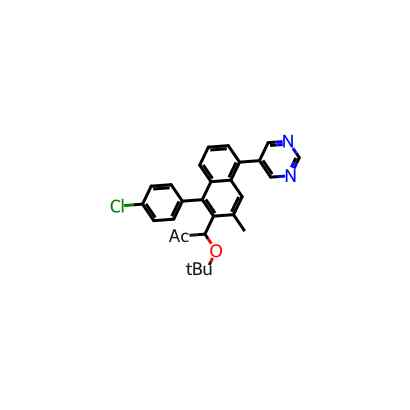 CC(=O)C(OC(C)(C)C)c1c(C)cc2c(-c3cncnc3)cccc2c1-c1ccc(Cl)cc1